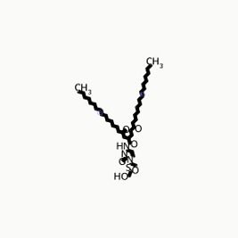 CCCCCCCC/C=C/CCCCCCCC(=O)CCC(CC(=O)CCCCCC/C=C/CCCCCCCC)C(=O)Nc1ccn(C2COC(CO)S2)c(=O)n1